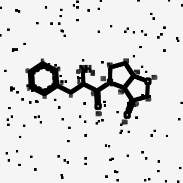 NC(Cc1ccccc1)C(=O)N1CCC2OCC(=O)C21